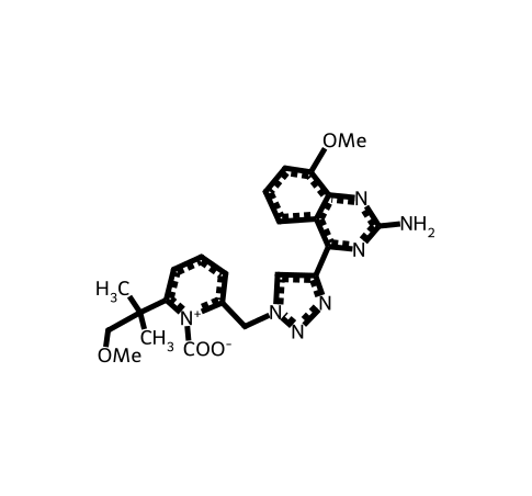 COCC(C)(C)c1cccc(Cn2cc(-c3nc(N)nc4c(OC)cccc34)nn2)[n+]1C(=O)[O-]